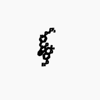 CCOc1ccc2c(c1)OC(C)(C)CC21C(=O)N(Cc2ccc(OCC(F)(F)F)nc2)c2ccccc21